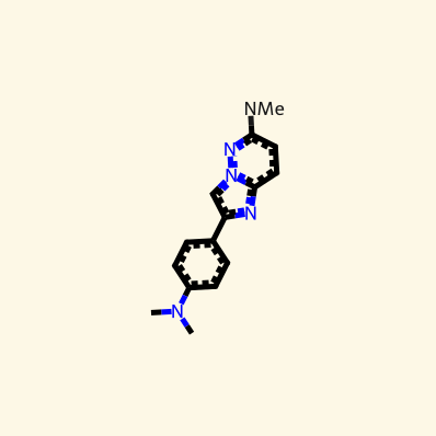 CNc1ccc2nc(-c3ccc(N(C)C)cc3)cn2n1